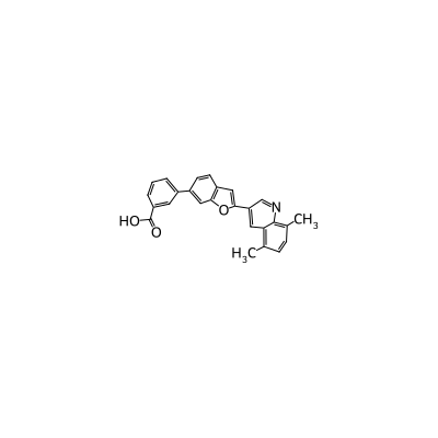 Cc1ccc(C)c2ncc(-c3cc4ccc(-c5cccc(C(=O)O)c5)cc4o3)cc12